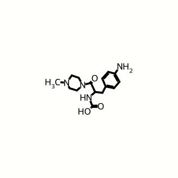 CN1CCN(C(=O)C(Cc2ccc(N)cc2)NC(=O)O)CC1